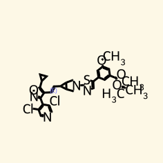 COc1cc(C(=O)OC(C)(C)C)cc(-c2cnc(N3CC4C(/C=C/c5c(-c6c(Cl)cncc6Cl)noc5C5CC5)C4C3)s2)c1